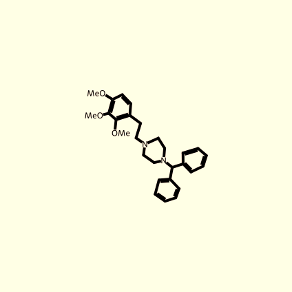 COc1ccc(CCN2CCN(C(c3ccccc3)c3ccccc3)CC2)c(OC)c1OC